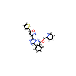 c1ccc(COc2nn3c(-c4cc(-c5cccs5)on4)nnc3c3ccccc23)nc1